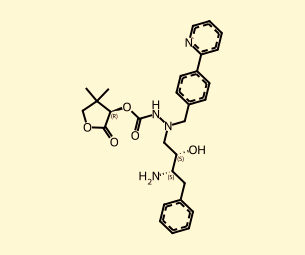 CC1(C)COC(=O)[C@@H]1OC(=O)NN(Cc1ccc(-c2ccccn2)cc1)C[C@H](O)[C@@H](N)Cc1ccccc1